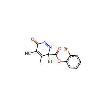 CCC1(C(=O)Oc2ccccc2Br)N=NC(=O)C(C#N)=C1C